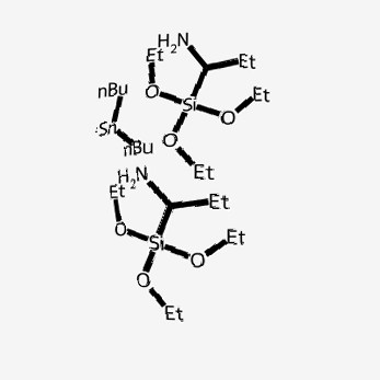 CCC[CH2][Sn][CH2]CCC.CCO[Si](OCC)(OCC)C(N)CC.CCO[Si](OCC)(OCC)C(N)CC